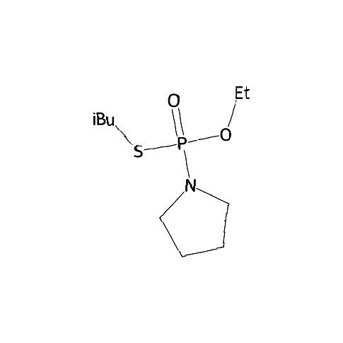 CCOP(=O)(SC(C)CC)N1CCCC1